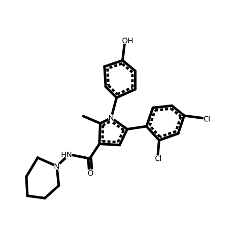 Cc1c(C(=O)NN2CCCCC2)cc(-c2ccc(Cl)cc2Cl)n1-c1ccc(O)cc1